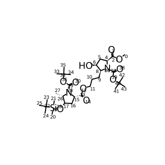 COC(=O)[C@@H]1C[C@H](O)[C@H](CCCOC(=O)[C@@H]2CC(O[Si](C)(C)C(C)(C)C)[C@H](C)N2C(=O)OC(C)(C)C)N1C(=O)OC(C)(C)C